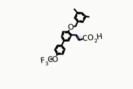 Cc1cc(C)cc(COc2ccc(-c3ccc(OC(F)(F)F)cc3)cc2/C=C/C(=O)O)c1